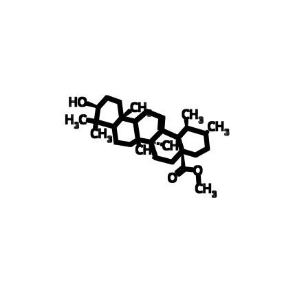 COC(=O)[C@]12CC[C@@H](C)[C@H](C)C1C1=CCC3[C@@]4(C)CC[C@H](O)C(C)(C)C4CC[C@@]3(C)[C@]1(C)CC2